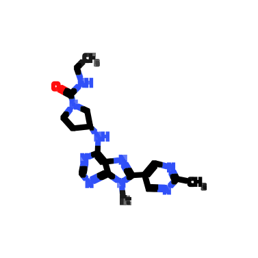 CCn1c(-c2cnc(C)nc2)nc2c(N[C@H]3CCN(C(=O)NCC(F)(F)F)C3)ncnc21